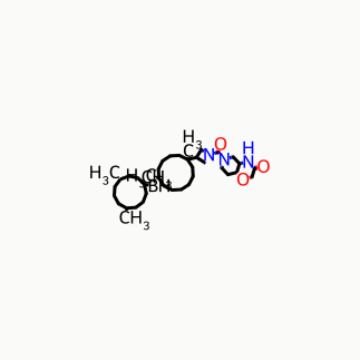 CC1CCCC(C)CCC(C)(BC2(C)CCCCCCC(C)(C3CN(C(=O)N4CCC5OCC(=O)NC5C4)C3)CCCC2)CCC1